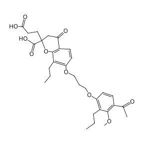 CCCc1c(OCCCOc2ccc3c(c2CCC)OC(CCC(=O)O)(C(=O)O)CC3=O)ccc(C(C)=O)c1OC